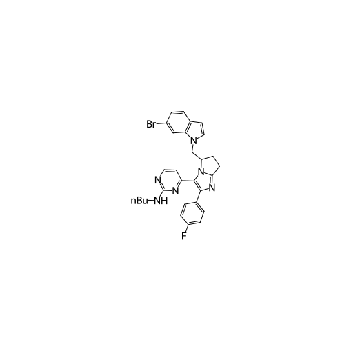 CCCCNc1nccc(-c2c(-c3ccc(F)cc3)nc3n2C(Cn2ccc4ccc(Br)cc42)CC3)n1